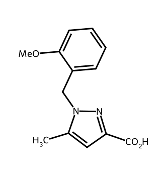 COc1ccccc1Cn1nc(C(=O)O)cc1C